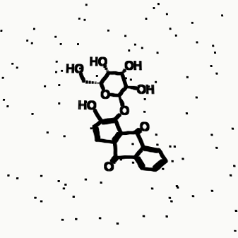 O=C1c2ccccc2C(=O)c2c1ccc(O)c2O[C@H]1O[C@H](CO)[C@H](O)[C@H](O)[C@H]1O